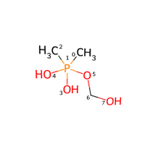 CP(C)(O)(O)OCO